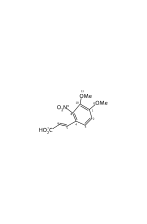 COc1ccc(C=CC(=O)O)c([N+](=O)[O-])c1OC